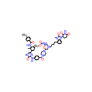 Cc1c(NC(=O)c2ccc(C(C)(C)C)cc2)cccc1-c1cn(C)c(=O)c(Nc2ccc(C(=O)N3CCN(C(=O)CN(CCCCc4cccc5c4n(C)c(=O)n5C4CCC(=O)NC4=O)CCNC(=O)OC(C)(C)C)CC3)cc2)n1